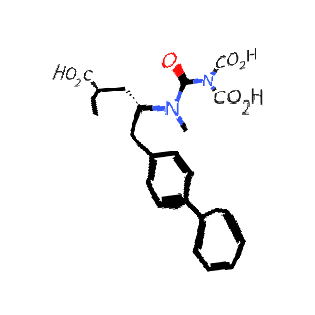 C[C@H](C[C@@H](Cc1ccc(-c2ccccc2)cc1)N(C)C(=O)N(C(=O)O)C(=O)O)C(=O)O